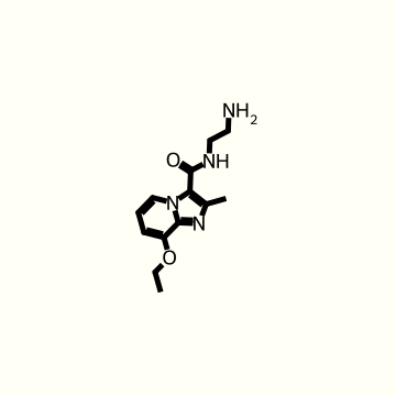 CCOc1cccn2c(C(=O)NCCN)c(C)nc12